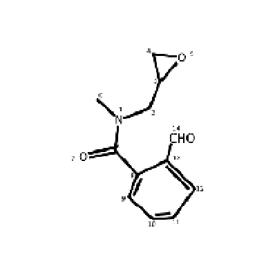 CN(CC1CO1)C(=O)c1ccccc1C=O